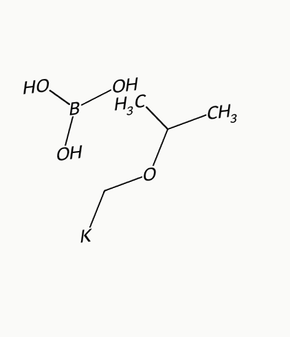 CC(C)O[CH2][K].OB(O)O